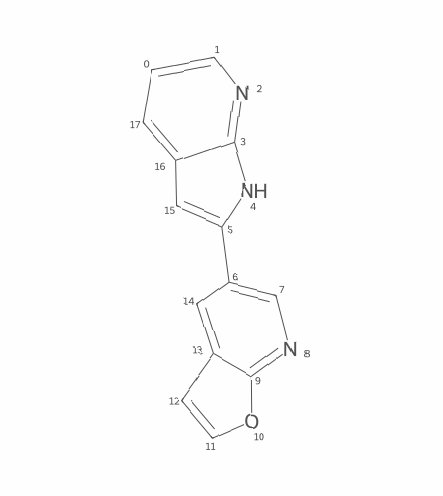 c1cnc2[nH]c(-c3cnc4occc4c3)cc2c1